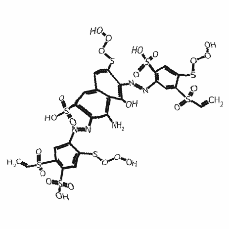 C=CS(=O)(=O)c1cc(N=Nc2c(SOOO)cc3cc(S(=O)(=O)O)c(N=Nc4cc(S(=O)(=O)C=C)c(S(=O)(=O)O)cc4SOOO)c(N)c3c2O)c(S(=O)(=O)O)cc1SOOO